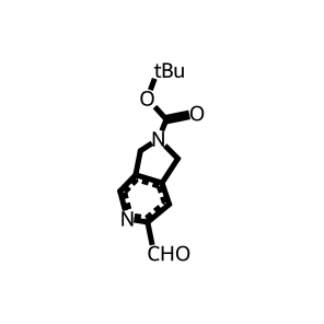 CC(C)(C)OC(=O)N1Cc2cnc(C=O)cc2C1